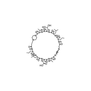 CC[C@H](C)[C@@H]1NC(=O)CN2CCN(CC2)C(=O)[C@H](C(C)C)NC(=O)[C@H](CC(O)O)NC(=O)[C@H](CC(C)C)NC(=O)[C@H]([C@@H](C)CC)NC(=O)CN2CCN(CC2)C(=O)[C@H](C(C)C)NC(=O)[C@H](CC(=O)O)NC(=O)[C@H](CC(C)C)NC1=O